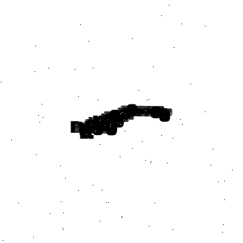 CCN(CC)c1ccc2nc3c4ccc(OC(=O)c5ccc(OCCCCCCOCC6CO6)cc5)cc4c(=O)cc-3oc2c1